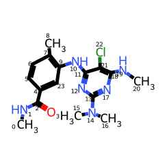 CNC(=O)c1ccc(C)c(Nc2nc(N(C)C)nc(NC)c2Cl)c1